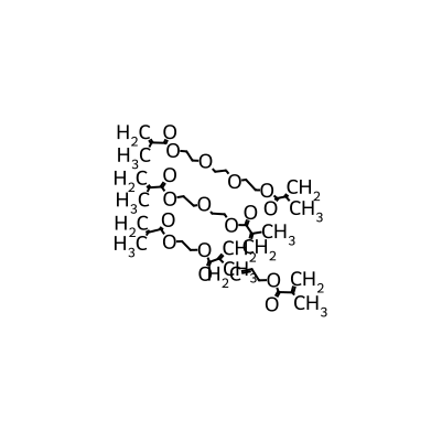 C=C(C)C(=O)OCCOC(=O)C(=C)C.C=C(C)C(=O)OCCOCCOC(=O)C(=C)C.C=C(C)C(=O)OCCOCCOCCOC(=O)C(=C)C.C=CCOC(=O)C(=C)C